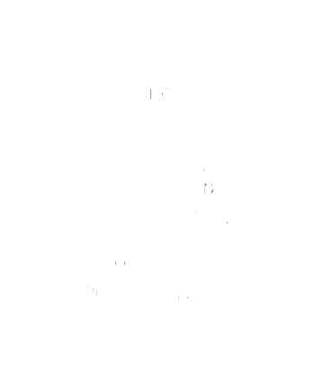 C#CC12CC(C1)N(C(=O)OC(C)(C)C)C2